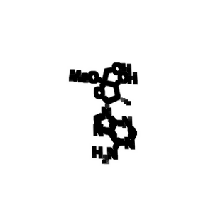 CO[C@]1(CO)O[C@@H](n2cnc3c(N)ncnc32)[C@@H](C)[C@@H]1O